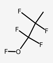 CC(F)(F)C(F)(F)OF